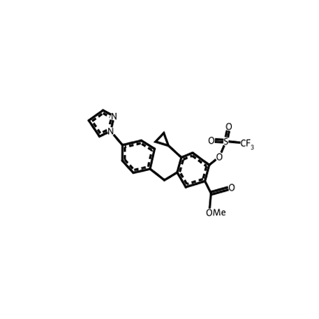 COC(=O)c1cc(Cc2ccc(-n3cccn3)cc2)c(C2CC2)cc1OS(=O)(=O)C(F)(F)F